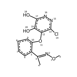 CON=C(C)c1ccccc1Oc1c(Cl)nnc(O)c1O